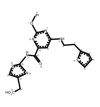 CC(C)Oc1nc(NCCc2cccs2)cc(C(=O)Nc2nc(CC(=O)O)cs2)n1